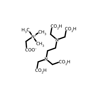 C[N+](C)(C)CC(=O)[O-].O=C(O)CN(CCN(CC(=O)O)CC(=O)O)CC(=O)O